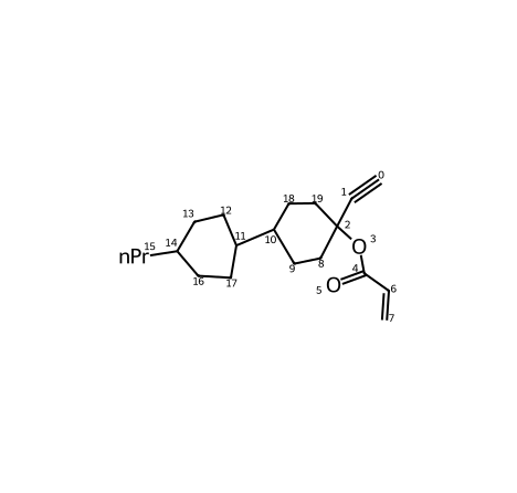 C#CC1(OC(=O)C=C)CCC(C2CCC(CCC)CC2)CC1